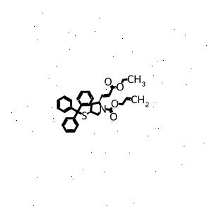 C=CCOC(=O)N1C[C@@H](SC(c2ccccc2)(c2ccccc2)c2ccccc2)C[C@H]1C=CC(=O)OCC